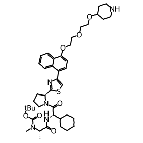 C[C@@H](C(=O)N[C@H](C(=O)N1CCC[C@H]1c1nc(-c2ccc(OCCOCCOC3CCNCC3)c3ccccc23)cs1)C1CCCCC1)N(C)C(=O)OC(C)(C)C